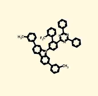 Cc1cccc(-c2ccc3c4ccc(-c5cccc(C)c5)cc4n(-c4ccc(-c5nc(-c6ccccc6)nc(-c6ccccc6)n5)c(-c5ccccc5C(F)(F)F)c4)c3c2)c1